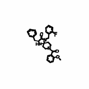 COc1ccccc1C(=O)N1CCC2(CC1)NC(Cc1ccccc1)C(=O)N2Cc1ccccc1F